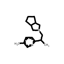 Cc1ccc(C(C)CN2CC3CCCC3C2)nc1